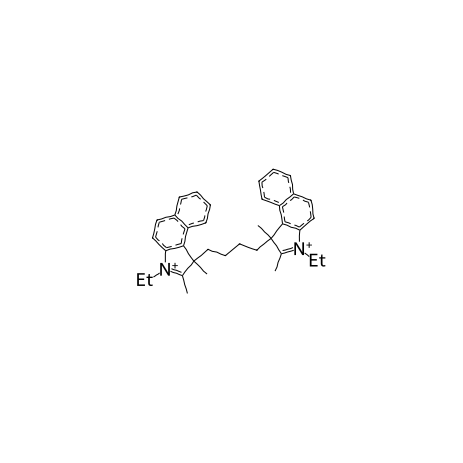 CC[N+]1=C(C)C(C)(CCCCC2(C)C(C)=[N+](CC)c3ccc4ccccc4c32)c2c1ccc1ccccc21